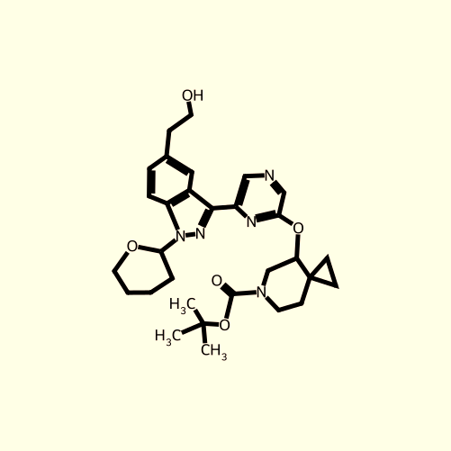 CC(C)(C)OC(=O)N1CCC2(CC2)C(Oc2cncc(-c3nn(C4CCCCO4)c4ccc(CCO)cc34)n2)C1